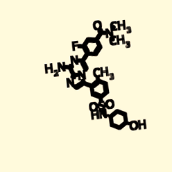 Cc1ccc(S(=O)(=O)N[C@H]2CC[C@H](O)CC2)cc1-c1cnc2c(N)nc(-c3ccc(C(=O)N(C)C)cc3F)cn12